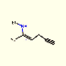 C#CC/C=C(\NCC)C(C)=O